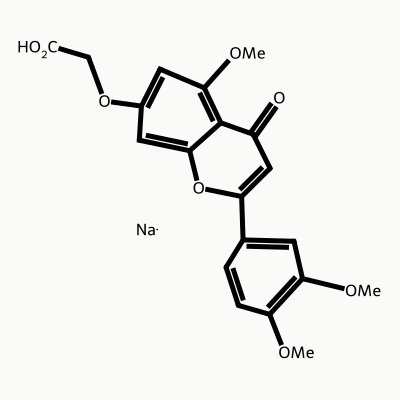 COc1ccc(-c2cc(=O)c3c(OC)cc(OCC(=O)O)cc3o2)cc1OC.[Na]